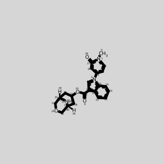 Cn1ccc(-n2cc(C(=O)OC3C[C@H]4COC[C@@H](C3)N4)c3ccccc32)cc1=O